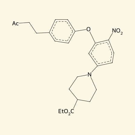 CCOC(=O)C1CCN(c2ccc([N+](=O)[O-])c(Oc3ccc(CCC(C)=O)cc3)c2)CC1